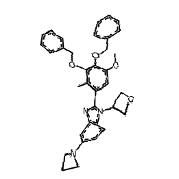 COc1cc(-c2nc3cc(N4CCC4)ccc3n2C2COC2)c(C)c(OCc2ccccc2)c1OCc1ccccc1